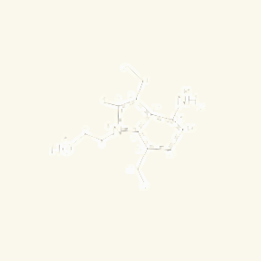 CCc1c(C)n(CCO)c2c(CC)ccc(N)c12